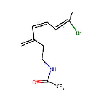 C=C(/C=C\C=C(/C)Br)CCNC(=O)C(F)(F)F